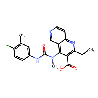 CCc1nc2ccncc2c(N(C)C(=O)Nc2ccc(Cl)c(C)c2)c1C(=O)O